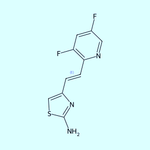 Nc1nc(/C=C/c2ncc(F)cc2F)cs1